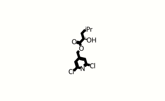 CC(C)C[C@H](O)C(=O)OCc1cc(Cl)nc(Cl)c1